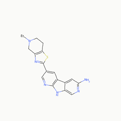 CCN1CCc2sc(-c3cnc4[nH]c5cnc(N)cc5c4c3)nc2C1